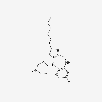 CCCCCCc1cc2c(s1)N(N1CCN(C)CC1)c1ccc(F)cc1NC2